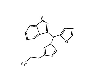 CCCc1ccn(C(c2ccco2)c2c[nH]c3ccccc23)c1